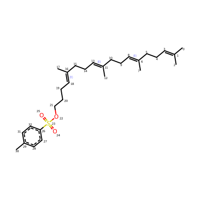 CC(C)=CCC/C(C)=C/CC/C(C)=C/CC/C(C)=C/CCCOS(=O)(=O)c1ccc(C)cc1